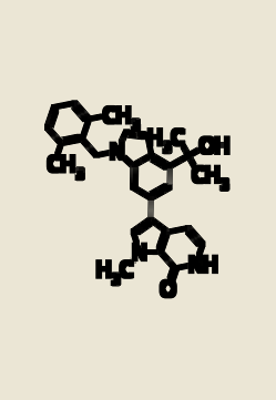 Cc1cccc(C)c1Cn1ccc2c(C(C)(C)O)cc(-c3cn(C)c4c(=O)[nH]ccc34)cc21